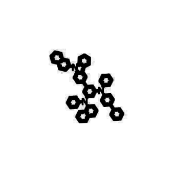 c1ccc(-c2ccc(N(c3ccccc3)c3cc(-c4ccc5c(c4)c4ccccc4n5-c4ccc5ccccc5c4)cc(N(c4ccccc4)c4cccc5ccccc45)c3)cc2)cc1